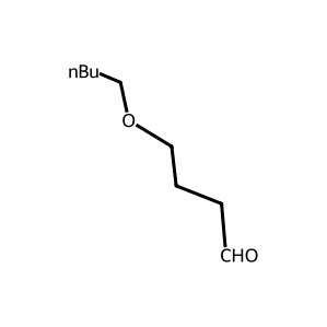 CCCCCOCCCC=O